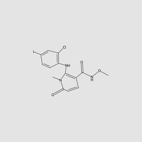 CONC(=O)c1ccc(=O)n(C)c1Nc1ccc(I)cc1Cl